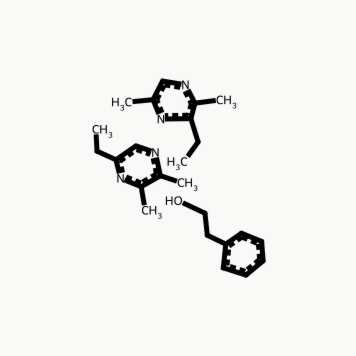 CCc1cnc(C)c(C)n1.CCc1nc(C)cnc1C.OCCc1ccccc1